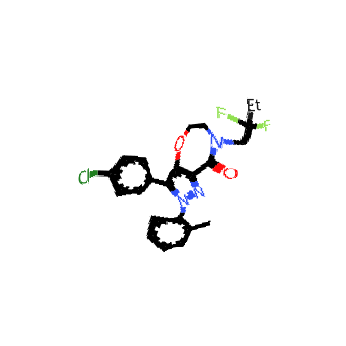 CCC(F)(F)CN1CCOc2c(nn(-c3ccccc3C)c2-c2ccc(Cl)cc2)C1=O